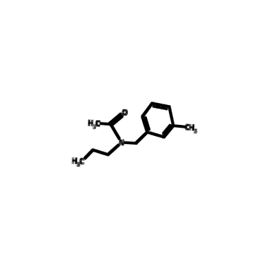 CCCN(Cc1cccc(C)c1)C(C)=O